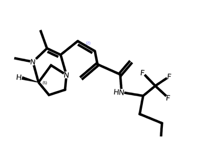 C=C(/C=C\C1=C(C)N(C)[C@H]2CCN1C2)C(=C)NC(CCC)C(F)(F)F